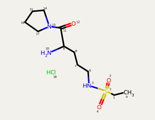 CCS(=O)(=O)NCCCC(N)C(=O)N1CCCC1.Cl